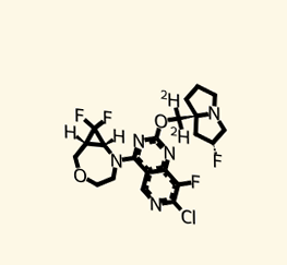 [2H]C([2H])(Oc1nc(N2CCOC[C@H]3[C@@H]2C3(F)F)c2cnc(Cl)c(F)c2n1)[C@@]12CCCN1C[C@H](F)C2